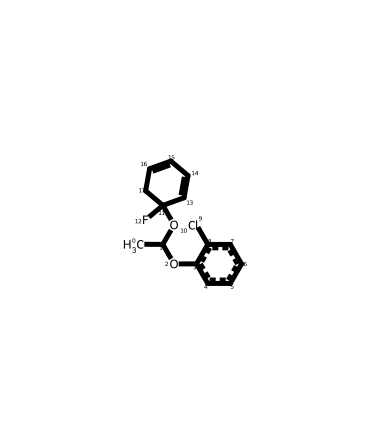 CC(Oc1ccccc1Cl)OC1(F)C=CC=CC1